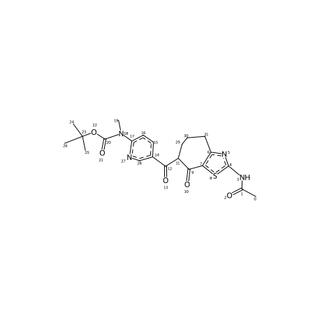 CC(=O)Nc1nc2c(s1)C(=O)C(C(=O)c1ccc(N(C)C(=O)OC(C)(C)C)nc1)CCC2